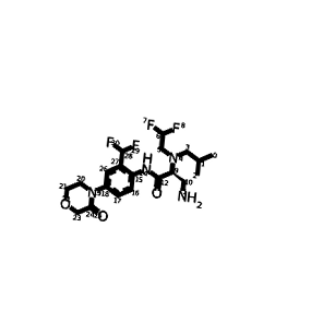 CC(C)CN(CC(F)F)[C@@H](CN)C(=O)Nc1ccc(N2CCOCC2=O)cc1C(F)F